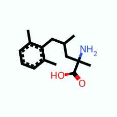 Cc1cccc(C)c1CC(C)CC(C)(N)C(=O)O